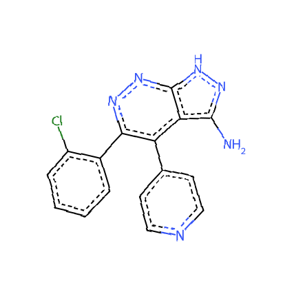 Nc1n[nH]c2nnc(-c3ccccc3Cl)c(-c3ccncc3)c12